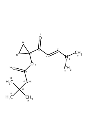 CN(C)C=CC(=O)C1(OC(=O)NC(C)(C)C)CC1